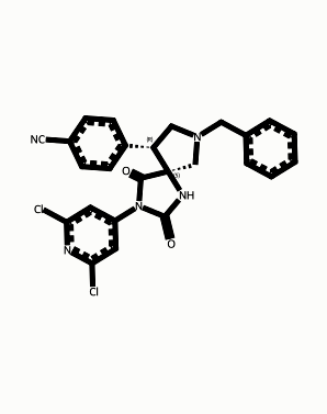 N#Cc1ccc([C@@H]2CN(Cc3ccccc3)C[C@@]23NC(=O)N(c2cc(Cl)nc(Cl)c2)C3=O)cc1